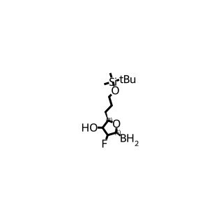 B[C@@H]1O[C@H](CCCO[Si](C)(C)C(C)(C)C)C(O)C1F